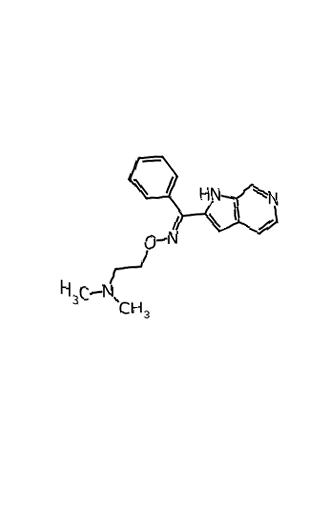 CN(C)CCON=C(c1ccccc1)c1cc2ccncc2[nH]1